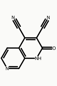 N#Cc1c(C#N)c2ccncc2[nH]c1=O